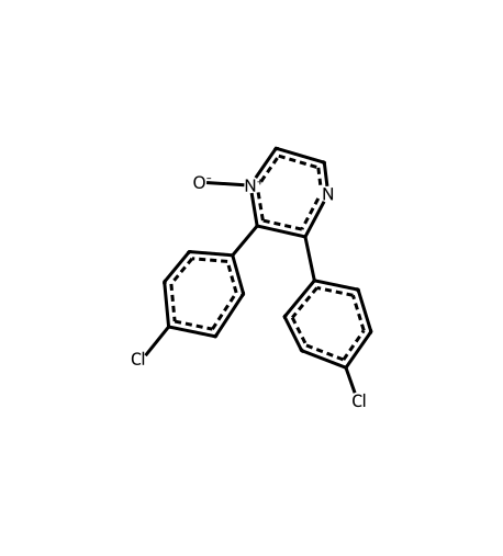 [O-][n+]1ccnc(-c2ccc(Cl)cc2)c1-c1ccc(Cl)cc1